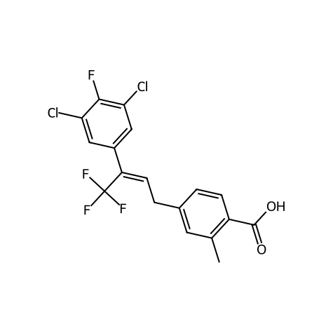 Cc1cc(CC=C(c2cc(Cl)c(F)c(Cl)c2)C(F)(F)F)ccc1C(=O)O